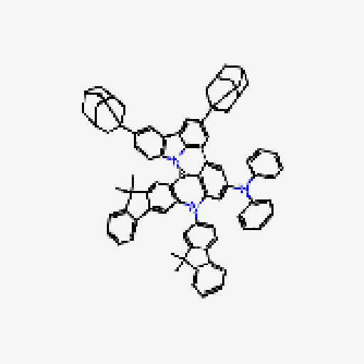 CC1(C)c2ccccc2-c2ccc(N3c4cc5c(cc4B4c6c(cc(N(c7ccccc7)c7ccccc7)cc63)-c3cc(C67CC8CC(CC(C8)C6)C7)cc6c7cc(C89CC%10CC(CC(C%10)C8)C9)ccc7n4c36)C(C)(C)c3ccccc3-5)cc21